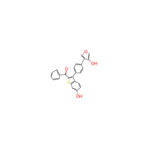 O=C(c1ccccc1)c1sc2cc(O)ccc2c1-c1ccc(-c2cocc2O)cc1